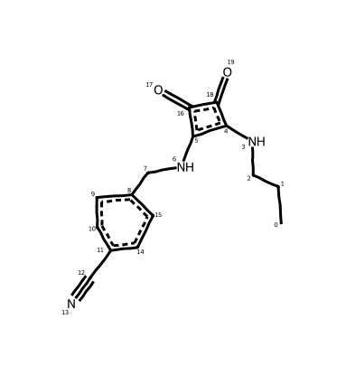 CCCNc1c(NCc2ccc(C#N)cc2)c(=O)c1=O